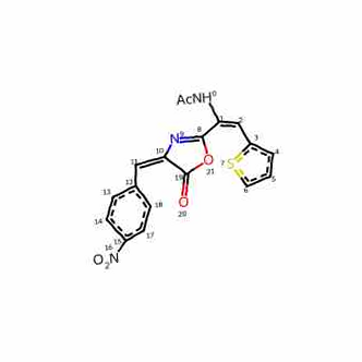 CC(=O)N/C(=C/c1cccs1)C1=N/C(=C/c2ccc([N+](=O)[O-])cc2)C(=O)O1